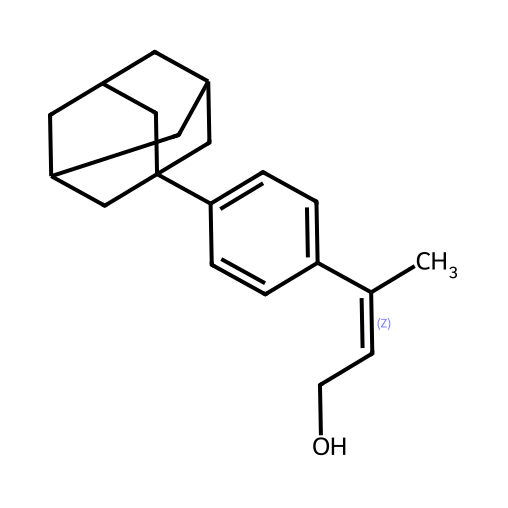 C/C(=C/CO)c1ccc(C23CC4CC(CC(C4)C2)C3)cc1